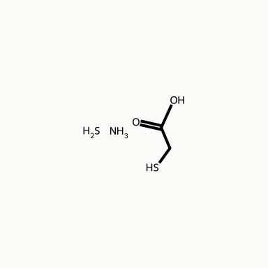 N.O=C(O)CS.S